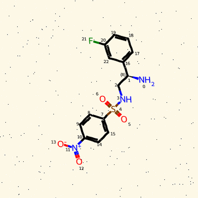 N[C@@H](CNS(=O)(=O)c1ccc([N+](=O)[O-])cc1)c1cccc(F)c1